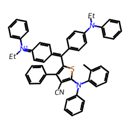 CCN(c1ccccc1)c1ccc(C(=C2C=CC(=[N+](CC)c3ccccc3)C=C2)c2sc(N(c3ccccc3)c3ccccc3C)c(C#N)c2-c2ccccc2)cc1